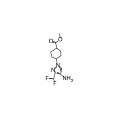 COC(=O)C1CCC(n2cc(N)c(C(F)F)n2)CC1